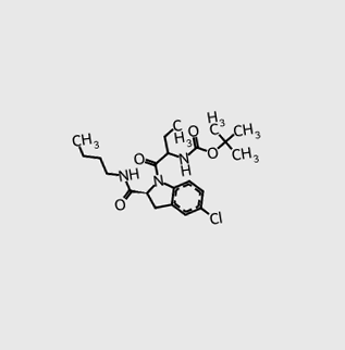 CCCCNC(=O)[C@@H]1Cc2cc(Cl)ccc2N1C(=O)C(CC)NC(=O)OC(C)(C)C